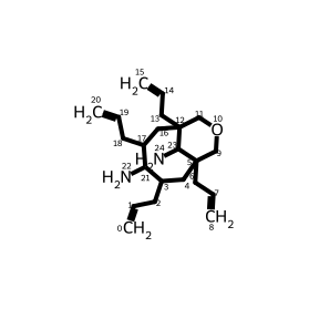 C=CCC1CC2(CC=C)COCC(CC=C)(CC(CC=C)C1N)C2N